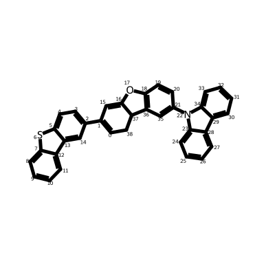 C1=C(c2ccc3sc4ccccc4c3c2)C=C2Oc3ccc(-n4c5ccccc5c5ccccc54)cc3C2C1